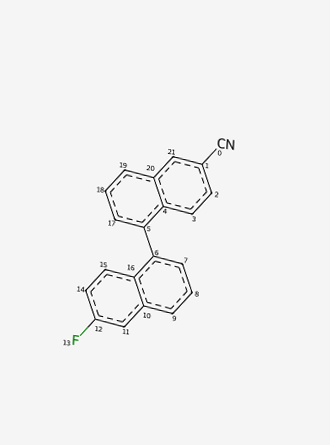 N#Cc1ccc2c(-c3cccc4cc(F)ccc34)cccc2c1